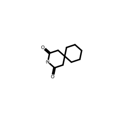 O=C1CC2(CCCCC2)CC(=O)[N]1